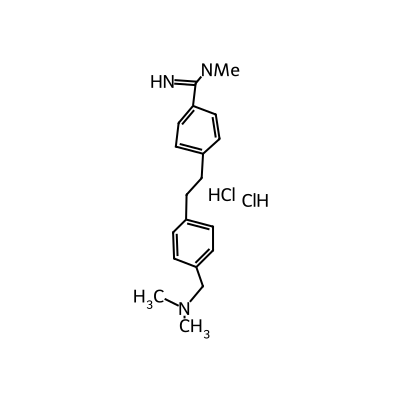 CNC(=N)c1ccc(CCc2ccc(CN(C)C)cc2)cc1.Cl.Cl